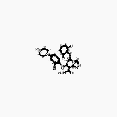 NC(=O)c1c(Nc2ccc(N3CCNCC3)cc2Br)nc(Cc2c(Cl)cccc2Cl)n2cnnc12